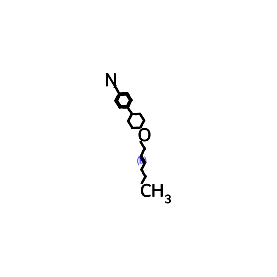 CCCC/C=C/CCOC1CCC(c2ccc(C#N)cc2)CC1